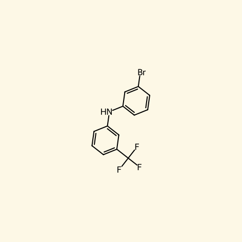 FC(F)(F)c1cccc(Nc2cccc(Br)c2)c1